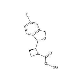 CC(C)(C)OC(=O)N1CC[C@H]1[C@H]1OCc2cc(F)ccc21